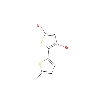 Cc1ccc(-c2sc(Br)cc2Br)s1